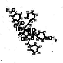 Cc1ccc(S(=O)(=O)NC(Cl)(CCc2ccccc2)C(=O)C(Cl)(CCc2ccccc2)NS(=O)(=O)c2ccc(C)cc2)cc1